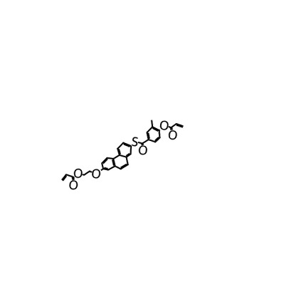 C=CC(=O)OCCOc1ccc2c(ccc3cc(SC(=O)c4ccc(OC(=O)C=C)c(C)c4)ccc32)c1